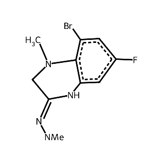 CN/N=C1/CN(C)c2c(Br)cc(F)cc2N1